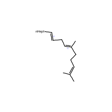 CCCCCCC/C=C/C/C=C(\C)CCC=C(C)C